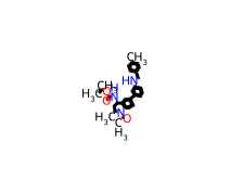 CC(=O)N1c2ccc(-c3cccc(NCc4ccc(C)cc4)c3)cc2[C@H](NC(=O)OC(C)C)C[C@@H]1C